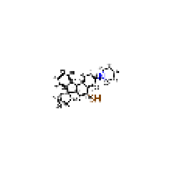 Sc1cc2c(c3ccc(N4CCCCC4)cc13)-c1ccccc1C21CC2CCC1C2